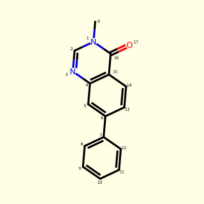 Cn1cnc2cc(-c3ccccc3)ccc2c1=O